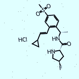 C[C@H](NC(=O)[C@@H]1C[C@@H](F)CN1)c1ccc(S(C)(=O)=O)cc1/C=C/C1CC1.Cl